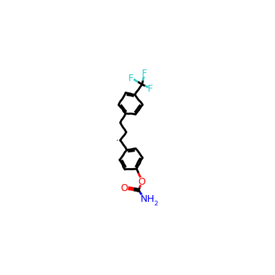 NC(=O)Oc1ccc([CH]CCc2ccc(C(F)(F)F)cc2)cc1